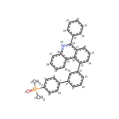 CP(C)(=O)c1ccc(-c2cccc(-c3cccc4c(-c5ccccc5)nc5ccccc5c34)c2)cc1